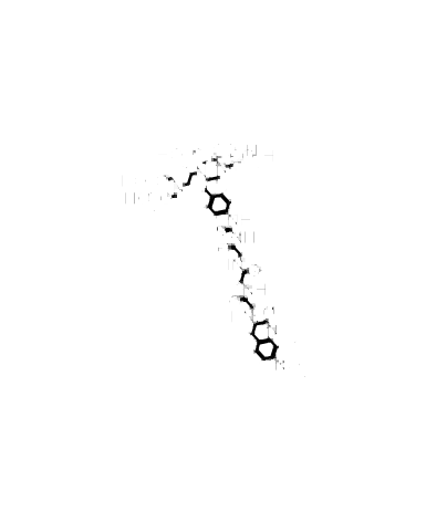 C[C@@H](CN(CC(=O)O)CC(=O)O)N(CC(=O)O)[C@H](Cc1ccc(NC(=S)NC(=O)CNC(=O)CNC(=O)CNC(Cc2ccc([N+](=O)[O-])cc2)C(N)=O)cc1)CN(CC(=O)O)CC(=O)O